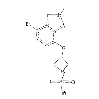 CC(C)S(=O)(=O)N1CC(Oc2ccc(Br)c3cn(C)nc23)C1